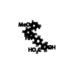 COc1ccc(F)cc1-c1ccnc2[nH]c(C3=CCC(N4CC(O)C[C@H]4C(=O)O)CC3)cc12